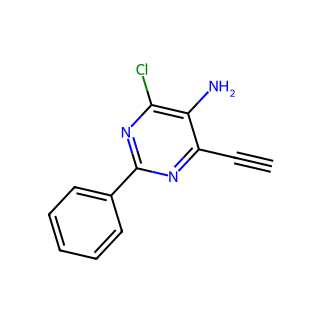 C#Cc1nc(-c2ccccc2)nc(Cl)c1N